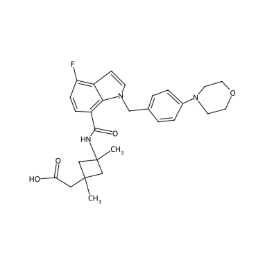 CC1(CC(=O)O)CC(C)(NC(=O)c2ccc(F)c3ccn(Cc4ccc(N5CCOCC5)cc4)c23)C1